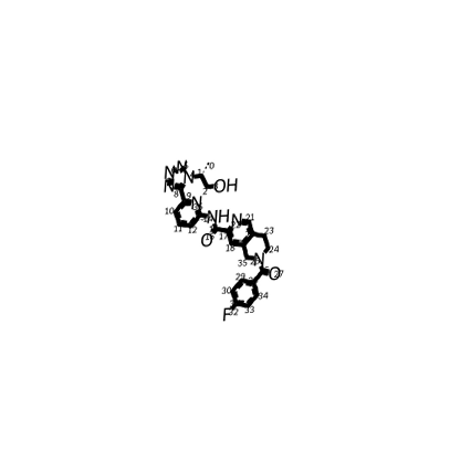 C[C@H](CO)n1nnnc1-c1cccc(NC(=O)c2cc3c(cn2)CCN(C(=O)c2ccc(F)cc2)C3)n1